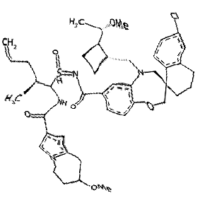 C=CC[C@H](C)C(NC(=O)c1cc2n(c1)CCC(OC)C2)/[SH](=O)=N\C(=O)c1ccc2c(c1)N(C[C@@H]1CC[C@H]1[C@H](C)OC)C[C@@]1(CCCc3cc(Cl)ccc31)CO2